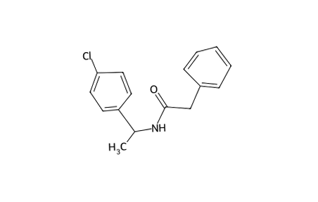 CC(NC(=O)Cc1ccccc1)c1ccc(Cl)cc1